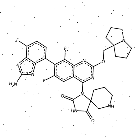 Nc1nc2c(-c3c(F)cc4c(N5C(=O)NC(=O)C56CCCNC6)nc(OCC56CCCN5CCC6)nc4c3F)ccc(F)c2s1